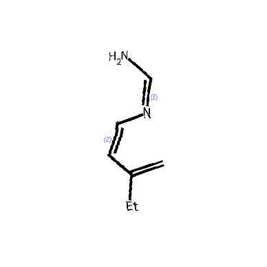 C=C(/C=C\N=C/N)CC